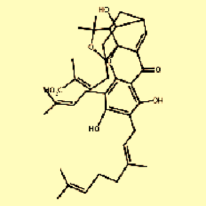 CC(C)=CCC/C(C)=C/Cc1c(O)c(CC=C(C)C)c2c(c1O)C(=O)C1=CC3CC4C(C)(C)OC(C/C=C(\C)C(=O)O)(CC3O)C14O2